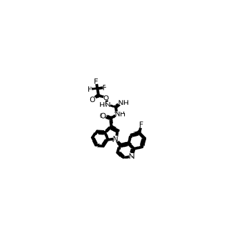 N=C(NOC(=O)C(F)(F)F)NC(=O)c1cn(-c2ccnc3ccc(F)cc23)c2ccccc12